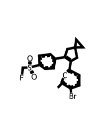 Cc1cc(C2=C(c3ccc(S(=O)(=O)CF)cc3)CC3(CC3)C2)ccc1Br